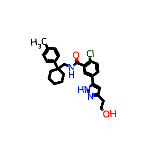 Cc1ccc(C2(CNC(=O)c3cc(-c4cc(CCO)n[nH]4)ccc3Cl)CCCCC2)cc1